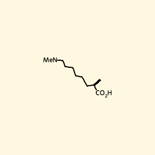 C=C(CCCCCCNC)C(=O)O